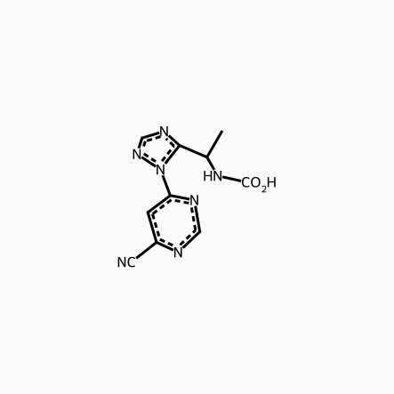 CC(NC(=O)O)c1ncnn1-c1cc(C#N)ncn1